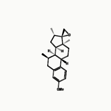 COc1ccc2c(c1)C[C@@H](C)[C@@H]1[C@@H]2CC[C@@]2(C)[C@@H]1C[C@H](C)[C@@]21CO1